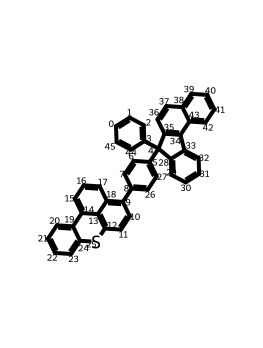 c1ccc(C2(c3ccc(-c4ccc5c6c(cccc46)-c4ccccc4S5)cc3)c3ccccc3-c3c2ccc2ccccc32)cc1